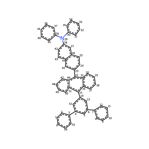 c1ccc(-c2cc(-c3ccccc3)cc(-c3c4ccccc4c(-c4ccc5cc(N(c6ccccc6)c6ccccc6)ccc5c4)c4ccccc34)c2)cc1